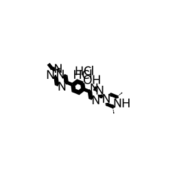 Cc1nc2cnc(-c3ccc(-c4cnc(N5C[C@@H](C)N[C@@H](C)C5)nn4)c(O)c3)cn2n1.Cl.Cl